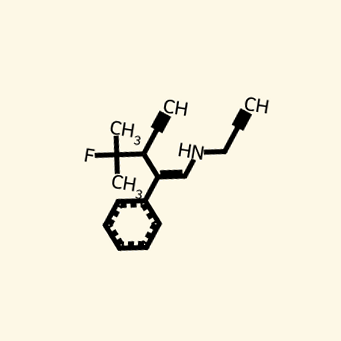 C#CCN/C=C(/c1ccccc1)C(C#C)C(C)(C)F